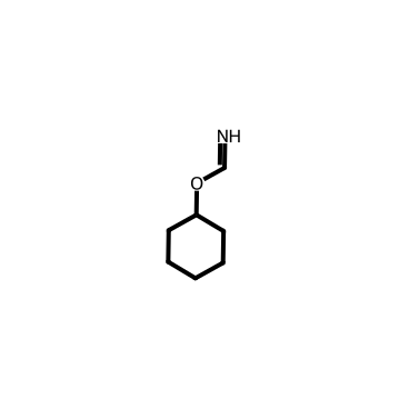 N=COC1CCCCC1